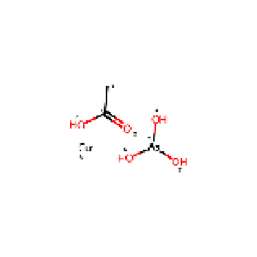 CC(=O)O.O[As](O)O.[Cu]